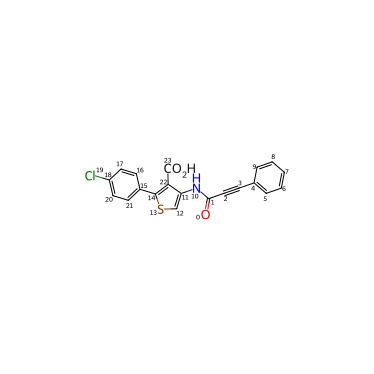 O=C(C#Cc1ccccc1)Nc1csc(-c2ccc(Cl)cc2)c1C(=O)O